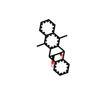 Cc1c2c(c(C)c3ccccc13)C1C(=O)C(=O)C2c2ccccc21